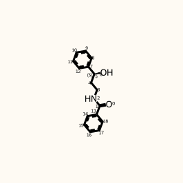 O=C(NCC[C@H](O)c1ccccc1)c1ccccc1